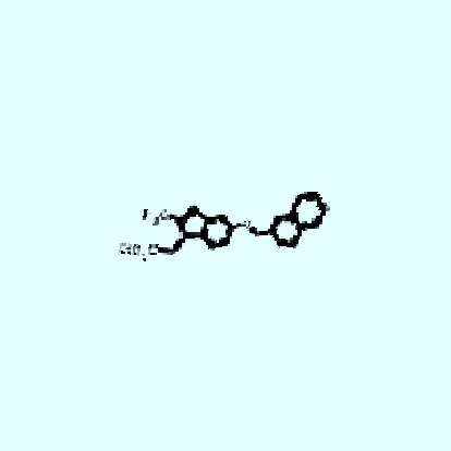 CCOC(=O)CC1C(C)=Cc2cc(OCc3ccc4ccccc4c3)ccc21